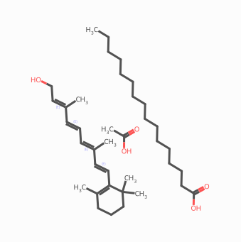 CC(=O)O.CC1=C(/C=C/C(C)=C/C=C/C(C)=C/CO)C(C)(C)CCC1.CCCCCCCCCCCCCCCC(=O)O